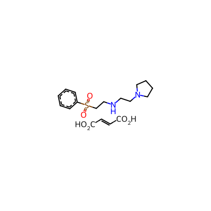 O=C(O)C=CC(=O)O.O=S(=O)(CCNCCN1CCCC1)c1ccccc1